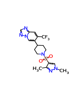 Cc1nn(C)cc1S(=O)(=O)N1CCC(c2cn3ncnc3cc2C(F)(F)F)CC1